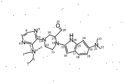 CC[N+](C)(C)c1nccnc1N1CCN(c2cc3ccc(N(C)C)cc3[nH]2)C(C=O)C1